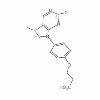 CN1NN(c2ccc(OCCC(=O)O)cc2)c2nc(Cl)ncc21